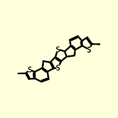 Cc1cc2ccc3c(c2s1)Cc1c-3sc2c1SC1c3ccc4cc(C)sc4c3CC21